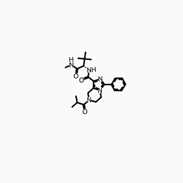 CNC(=O)[C@@H](NC(=O)c1nc(-c2ccccc2)n2c1CN(C(=O)C(C)C)CC2)C(C)(C)C